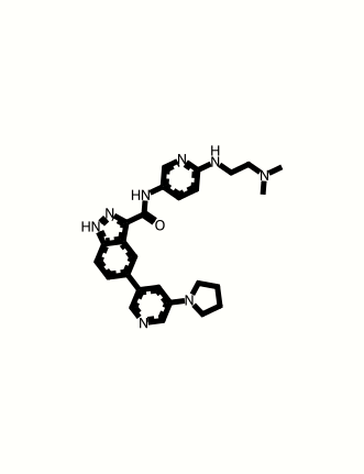 CN(C)CCNc1ccc(NC(=O)c2n[nH]c3ccc(-c4cncc(N5CCCC5)c4)cc23)cn1